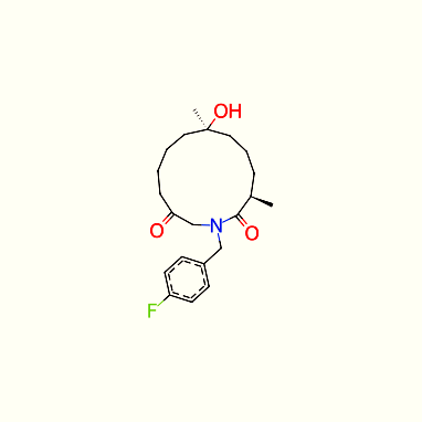 C[C@@H]1CCC[C@](C)(O)CCCCC(=O)CN(Cc2ccc(F)cc2)C1=O